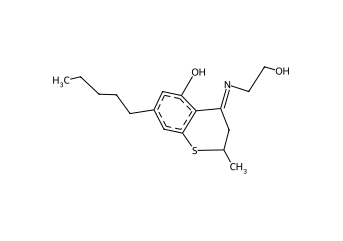 CCCCCc1cc(O)c2c(c1)SC(C)CC2=NCCO